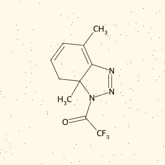 CC1=C2N=NN(C(=O)C(F)(F)F)C2(C)CC=C1